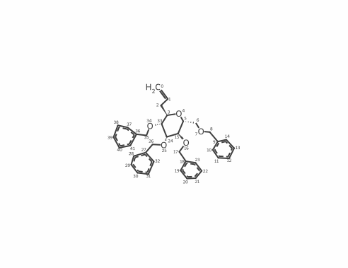 C=CC[C@H]1O[C@H](COCc2ccccc2)[C@@H](OCc2ccccc2)[C@H](OCc2ccccc2)[C@@H]1OCc1ccccc1